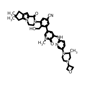 C[C@H]1CN(C2COC2)CCN1c1ccc(Nc2cc(-c3cc(C#N)cc(N4CCn5c(cc6c5CC(C)(C)C6)C4=O)c3CO)cn(C)c2=O)nc1